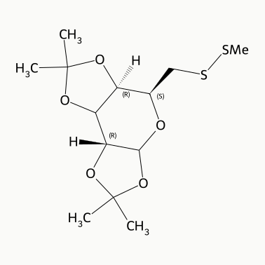 CSSC[C@H]1OC2OC(C)(C)O[C@@H]2C2OC(C)(C)O[C@H]21